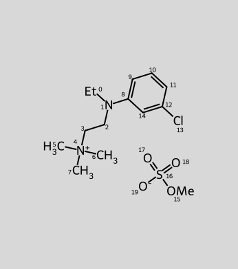 CCN(CC[N+](C)(C)C)c1cccc(Cl)c1.COS(=O)(=O)[O-]